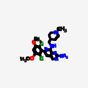 COc1cc(OC)c(Cl)c(-c2cc3cnc(N)nc3c(NCC3CCN(C)CC3)n2)c1Cl